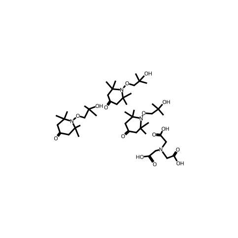 CC(C)(O)CON1C(C)(C)CC(=O)CC1(C)C.CC(C)(O)CON1C(C)(C)CC(=O)CC1(C)C.CC(C)(O)CON1C(C)(C)CC(=O)CC1(C)C.O=C(O)CN(CC(=O)O)CC(=O)O